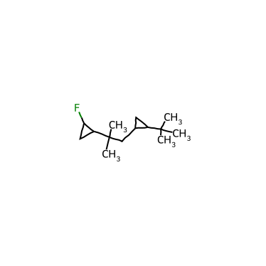 CC(C)(C)C1CC1CC(C)(C)C1CC1F